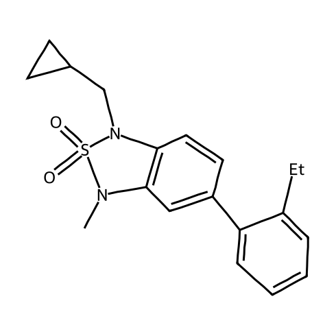 CCc1ccccc1-c1ccc2c(c1)N(C)S(=O)(=O)N2CC1CC1